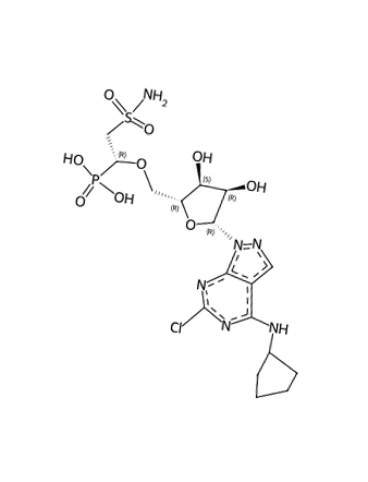 NS(=O)(=O)C[C@H](OC[C@H]1O[C@@H](n2ncc3c(NC4CCCC4)nc(Cl)nc32)[C@H](O)[C@@H]1O)P(=O)(O)O